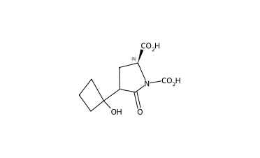 O=C(O)[C@@H]1CC(C2(O)CCC2)C(=O)N1C(=O)O